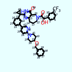 O=C([C@H](O)c1cccc(C(F)(F)F)c1)N1CCCc2nc(C3(c4cccc(-c5ccc(N6CCC(OCc7ccccc7)CC6)nc5)c4)CC3)[nH]c(=O)c2C1